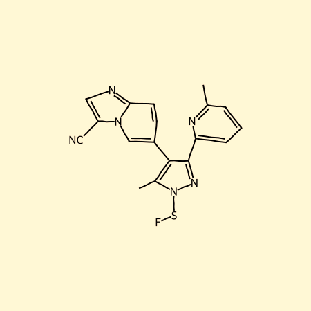 Cc1cccc(-c2nn(SF)c(C)c2-c2ccc3ncc(C#N)n3c2)n1